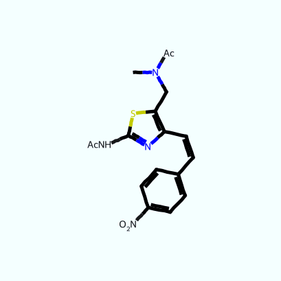 CC(=O)Nc1nc(/C=C\c2ccc([N+](=O)[O-])cc2)c(CN(C)C(C)=O)s1